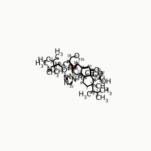 CC(C)[C@@H](C)[C@@]1(C)CC[C@]2(C)[C@H]3CC[C@@H]4[C@@]5(COC[C@]4(C)[C@@H](OCC(C)(C(C)C)N(C)C)[C@H](n4ncnn4)C5)C3=CC(=O)[C@@]2(C)[C@@H]1C(=O)O